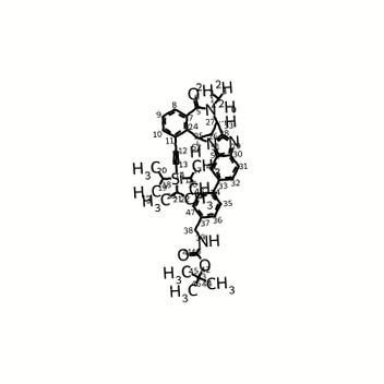 [2H]C([2H])([2H])N1C(=O)c2cccc(C#C[Si](C(C)C)(C(C)C)C(C)C)c2[C@H]2C[C@@H]1c1nc3ccc(-c4ccc(CNC(=O)OC(C)(C)C)cc4)cc3n12